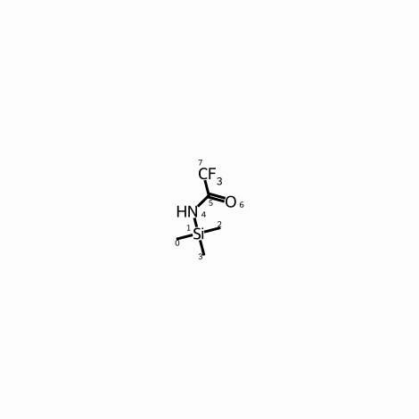 C[Si](C)(C)NC(=O)C(F)(F)F